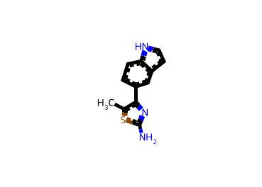 Cc1sc(N)nc1-c1ccc2[nH]ccc2c1